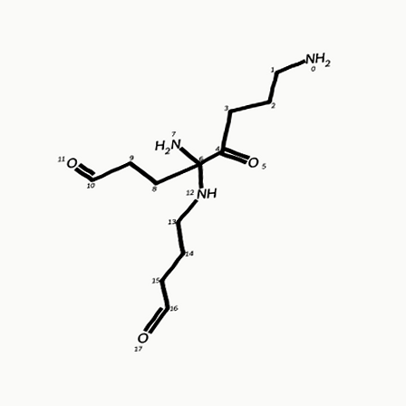 NCCCC(=O)C(N)(CCC=O)NCCC[C]=O